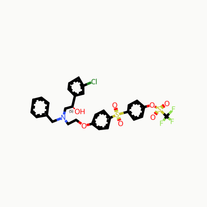 O=S(=O)(c1ccc(OCCN(Cc2ccccc2)C[C@@H](O)c2cccc(Cl)c2)cc1)c1ccc(OS(=O)(=O)C(F)(F)F)cc1